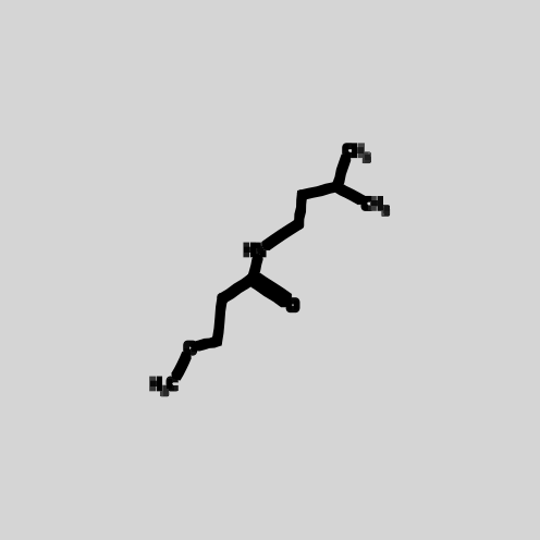 COCCC(=O)NCCC(C)C